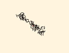 Cn1cc(-c2cc(Cl)c(CN3CCN(C(=O)CN4CCC(c5ccc(NC6CCC(=O)NC6=O)cc5)CC4)CC3)c(OC(F)F)c2)c2cn[nH]c2c1=O